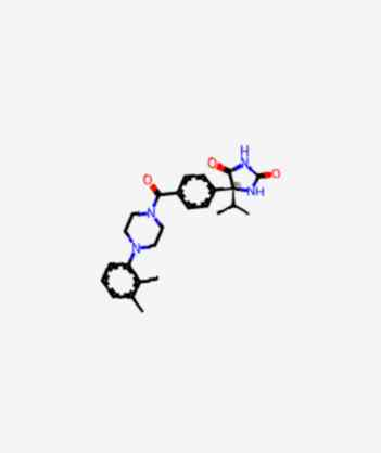 Cc1cccc(N2CCN(C(=O)c3ccc([C@@]4(C(C)C)NC(=O)NC4=O)cc3)CC2)c1C